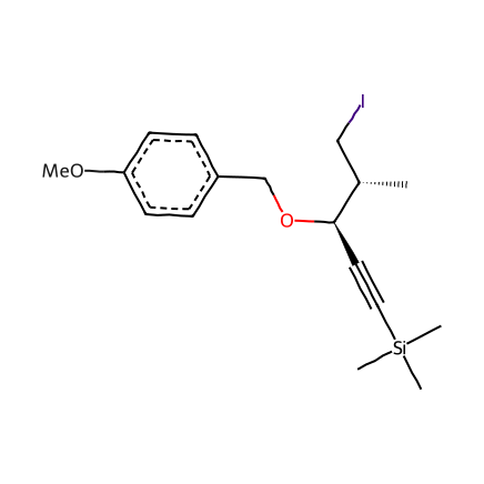 COc1ccc(CO[C@H](C#C[Si](C)(C)C)[C@@H](C)CI)cc1